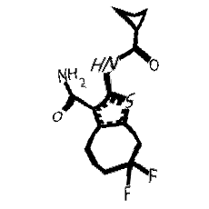 NC(=O)c1c(NC(=O)C2CC2)sc2c1CCC(F)(F)C2